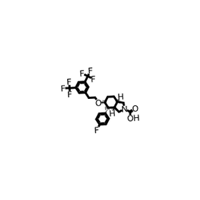 O=C(O)N1C[C@@H]2CC[C@H](OCCc3cc(C(F)(F)F)cc(C(F)(F)F)c3)[C@@H](c3ccc(F)cc3)[C@@H]2C1